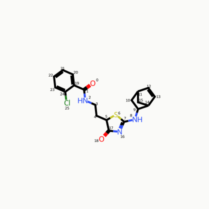 O=C(NCCC1SC(NC2CC3C=CC2C3)=NC1=O)c1ccccc1Cl